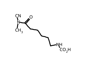 CN(C#N)C(=O)CCCCCNC(=O)O